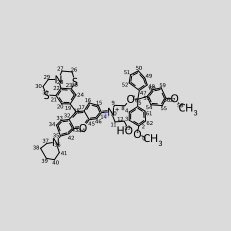 COc1ccc(C(OCC/[N+](CCO)=c2\ccc3c(-c4cc5c6c(c4)SCCN6CCS5)c4ccc(N5CCCCC5)cc4oc-3c2)(c2ccccc2)c2ccc(OC)cc2)cc1